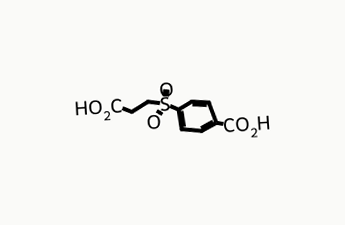 O=C(O)CCS(=O)(=O)c1ccc(C(=O)O)cc1